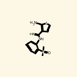 CP(C)(=O)c1ccccc1NC(=N)c1ccsc1N